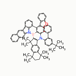 CC(C)(C)c1ccc(N2C3=C(B4c5c2cc2oc6ccccc6c2c5-c2cccc5c6cc7ccccc7cc6n4c25)C(C)(C)c2cc4c(cc23)C(C)(C)CCC4(C)C)c(-c2ccccc2)c1